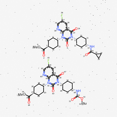 COC(=O)[C@H]1CC[C@H](n2c(=O)n([C@H]3CC[C@@H](NC(=O)C4CC4)CC3)c(=O)c3cc(F)cnc32)CC1.COC(=O)[C@H]1CC[C@H](n2c(=O)n([C@H]3CC[C@@H](NC(=O)OC(C)(C)C)CC3)c(=O)c3cc(F)cnc32)CC1